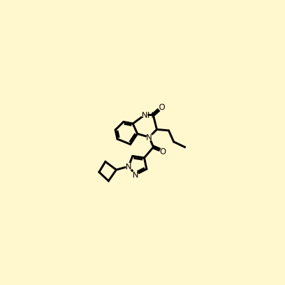 CCCC1C(=O)Nc2ccccc2N1C(=O)c1cnn(C2CCC2)c1